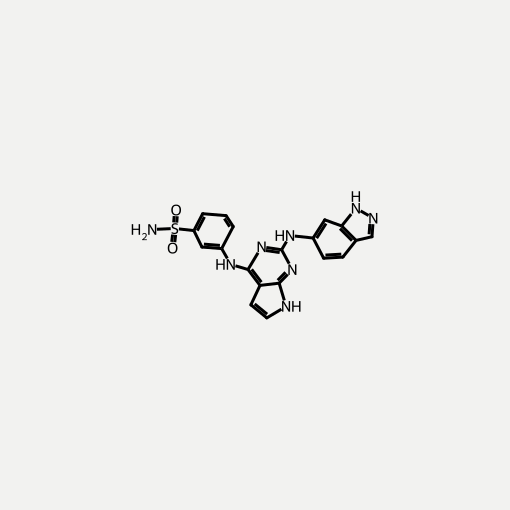 NS(=O)(=O)c1cccc(Nc2nc(Nc3ccc4cn[nH]c4c3)nc3[nH]ccc23)c1